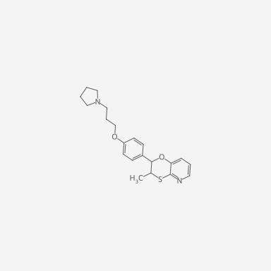 CC1Sc2ncccc2OC1c1ccc(OCCCN2CCCC2)cc1